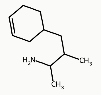 CC(N)C(C)CC1CC=CCC1